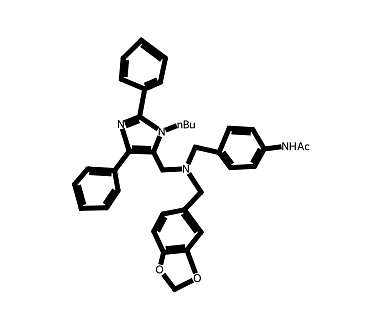 CCCCn1c(-c2ccccc2)nc(-c2ccccc2)c1CN(Cc1ccc(NC(C)=O)cc1)Cc1ccc2c(c1)OCO2